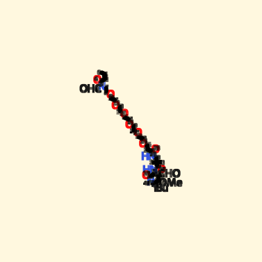 C/C=C\C(=O)N(C=O)CCOCCOCCOCCOCCOCCOCCC(=O)NCC(C)(C)C(=O)NCC(=O)N(C)C(C(C)CC)C(CC=O)OC